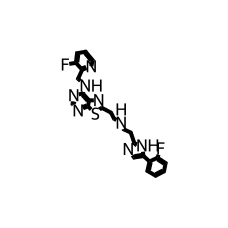 Fc1ccccc1-c1cnc(CCNCCc2nc3c(NCc4ncccc4F)ncnc3s2)[nH]1